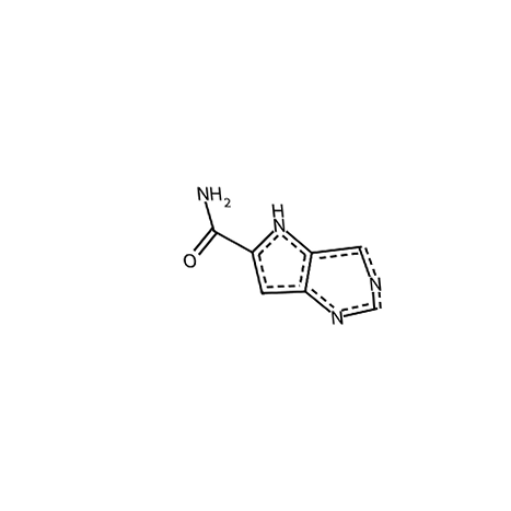 NC(=O)c1cc2ncncc2[nH]1